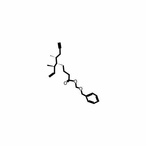 C#CC[C@@H](C)[C@H](CCCC(=O)OCOCc1ccccc1)[C@H](C)C=C